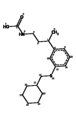 CC(CCNC(=O)O)c1cccc(SCC2CCCCC2)c1